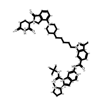 Cc1nn(CCCCCC2CCN(c3cccc4c3CN(C3CCC(=O)NC3=O)C4=O)CC2)c2cc(C(=O)Nc3cc4c(cn3)cc([C@H]3CCCN3C)n4C(=O)OC(C)(C)C)ccc12